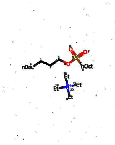 CCCCCCCCCCCCCOS(=O)(=O)CCCCCCCC.CC[N+](CC)(CC)CC